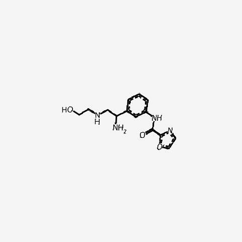 NC(CNCCO)c1cccc(NC(=O)c2ncco2)c1